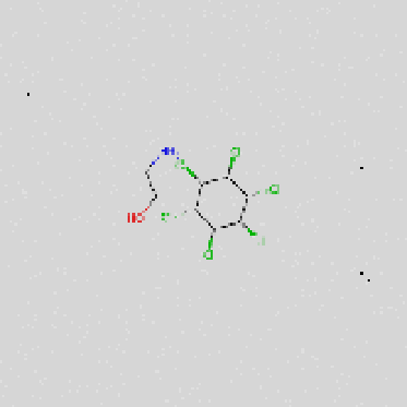 Cl[C@H]1[C@H](Cl)[C@@H](Cl)[C@@H](Cl)[C@H](Cl)[C@H]1Cl.NCCO